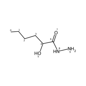 CCCCC(O)C(=O)NN